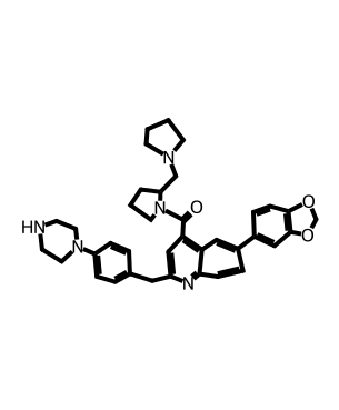 O=C(c1cc(Cc2ccc(N3CCNCC3)cc2)nc2ccc(-c3ccc4c(c3)OCO4)cc12)N1CCCC1CN1CCCC1